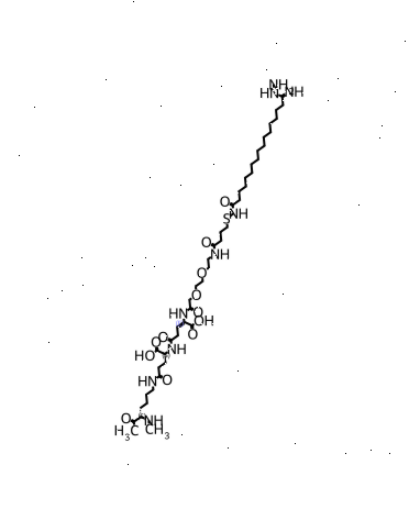 CN[C@@H](CCCCNC(=O)CC[C@H](NC(=O)C/C=C(/NC(=O)COCCOCCNC(=O)CCCSNC(=O)CCCCCCCCCCCCCCCC(=N)NN)C(=O)O)C(=O)O)C(C)=O